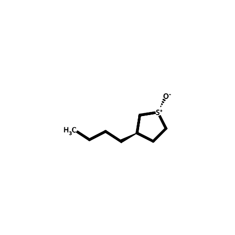 CCCC[C@@H]1CC[S@@+]([O-])C1